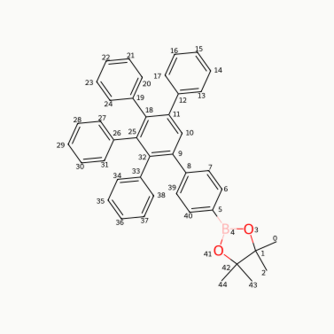 CC1(C)OB(c2ccc(-c3cc(-c4ccccc4)c(-c4ccccc4)c(-c4ccccc4)c3-c3ccccc3)cc2)OC1(C)C